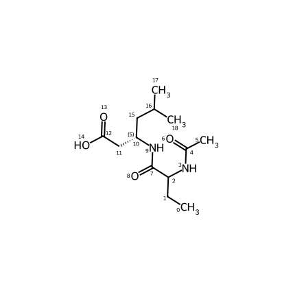 CCC(NC(C)=O)C(=O)N[C@H](CC(=O)O)CC(C)C